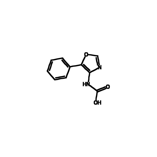 O=C(O)Nc1ncoc1-c1ccccc1